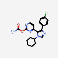 NC(=O)Oc1nccc(-c2c(-c3ccc(Cl)cc3)ncn2C2CCCCC2)n1